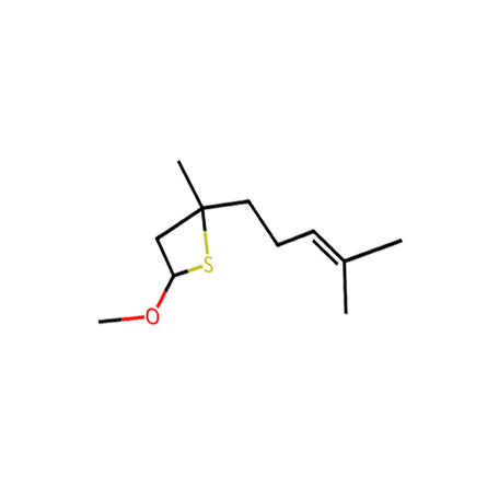 COC1CC(C)(CCC=C(C)C)S1